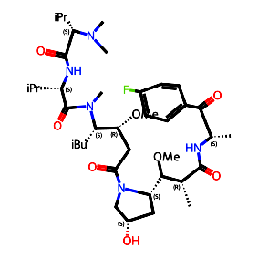 CCC(C)[C@@H]([C@@H](CC(=O)N1C[C@@H](O)C[C@H]1C(OC)[C@@H](C)C(=O)N[C@@H](C)C(=O)c1ccc(F)cc1)OC)N(C)C(=O)[C@@H](NC(=O)[C@H](C(C)C)N(C)C)C(C)C